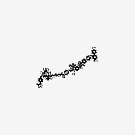 Cc1ncsc1-c1ccc(CNC(=O)[C@@H]2C[C@@H](O)CN2C(=O)[C@@H](NC(=O)CCCCCCCC(=O)N2CCN(CCCNc3ccc(S(=O)(=O)NC(=O)c4ccc(N5CCN(CC6=C(c7ccc(Cl)cc7)CCC(C)(C)C6)CC5)cc4)cc3S(=O)(=O)C(F)(F)F)CC2)C(C)(C)C)cc1